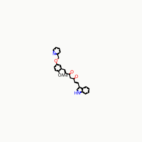 COc1ccc(OCc2ccccn2)cc1C=CC(=O)CC(=O)C=Cc1c[nH]c2ccccc12